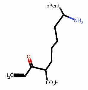 C=CC(=O)C(CCCCC(N)CCCCC)C(=O)O